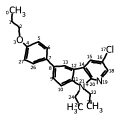 CCCOc1ccc(-c2ccc3c(c2)-c2cc(Cl)cnc2[N+]3(CC)CC)cc1